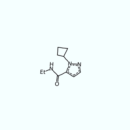 CCNC(=O)c1ccnn1C1CCC1